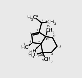 CC(C)C1=C[C@H](O)[C@H]2C(C)(C)CCC[C@@]12C